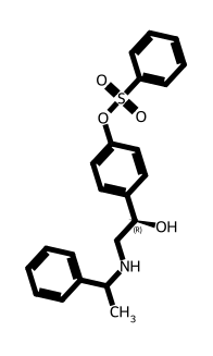 CC(NC[C@H](O)c1ccc(OS(=O)(=O)c2ccccc2)cc1)c1ccccc1